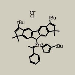 C/[C](c1ccccc1)=[Zr+2](/[C]1=CC(C(C)(C)C)=CC1)[CH]1c2cc3c(cc2-c2cc4c(cc21)C(C)(C)C=C4C(C)(C)C)C(C(C)(C)C)=CC3(C)C.[Cl-].[Cl-]